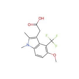 COc1ccc2c(c(CC(=O)O)c(C)n2C)c1C(F)(F)F